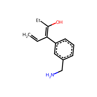 C=C/C(=C(/O)CC)c1cccc(CN)c1